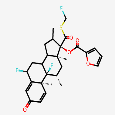 CC1CC2C3C[C@H](F)C4=CC(=O)C=C[C@]4(C)[C@@]3(F)[C@@H](C)C[C@]2(C)[C@@]1(OC(=O)c1ccco1)C(=O)SCF